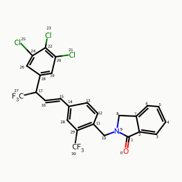 O=C1c2ccccc2CN1Cc1ccc(/C=C/C(c2cc(Cl)c(Cl)c(Cl)c2)C(F)(F)F)cc1C(F)(F)F